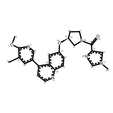 COc1ncc(-c2ccnc3ccc(O[C@H]4CCN(C(=O)c5cn(C)cn5)C4)cc23)cc1C